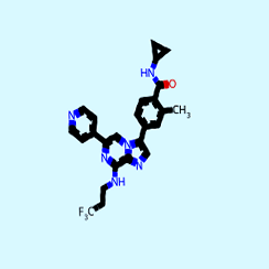 Cc1cc(-c2cnc3c(NCCC(F)(F)F)nc(-c4ccncc4)cn23)ccc1C(=O)NC1CC1